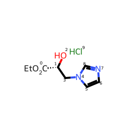 CCOC(=O)[C@H](O)Cn1ccnc1.Cl